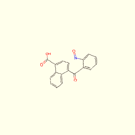 O=Nc1ccccc1C(=O)c1ccc(C(=O)O)c2ccccc12